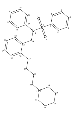 O=S(=O)(c1ccccc1)N(Cc1ccccc1CCCCN1CCCCC1)c1ccccc1